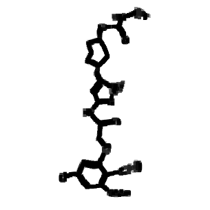 COc1cc(Cl)cc(OCC(=O)Nc2cc([C@H]3CC[C@@H](OC(=O)NC(C)C)C3)[nH]n2)c1C=O